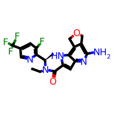 CCN(C(=O)c1cc2nc(N)c3c(c2[nH]1)COC3)[C@H](C)c1ncc(C(F)(F)F)cc1F